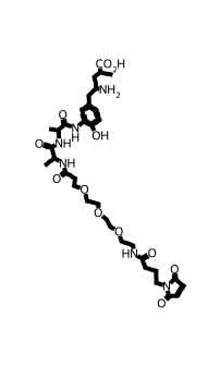 CC(CC(N)Cc1ccc(O)c(NC(=O)C(C)NC(=O)C(C)NC(=O)CCOCCOCCOCCNC(=O)CCCN2C(=O)C=CC2=O)c1)C(=O)O